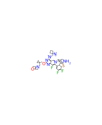 CN(CC1(N(C)C)CCC1)c1nc(OCC2(CN3CC4=C3CO4)CC2)nc2c(F)c(C3=CC(F)=C(F)C4SC(N)=C(C#N)C34)ncc12